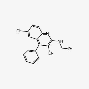 CC(C)CNc1nc2ccc(Cl)cc2c(-c2ccccc2)c1C#N